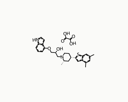 Cc1cc(C)c2cc([C@H]3CCN(C[C@H](O)COc4cccc5[nH]ccc45)[C@@H](C)C3)sc2c1.O=C(O)C(=O)O